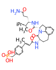 C/C(=C\C(=O)N[C@H]1CCc2cccc3c2N(C1=O)[C@H](C(=O)N[C@@H](CCC(N)=O)[C@@H](C)C(C)C)C3)c1ccc(CP(=O)(O)O)cc1